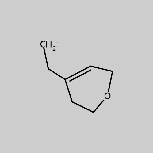 [CH2]CC1=CCOCC1